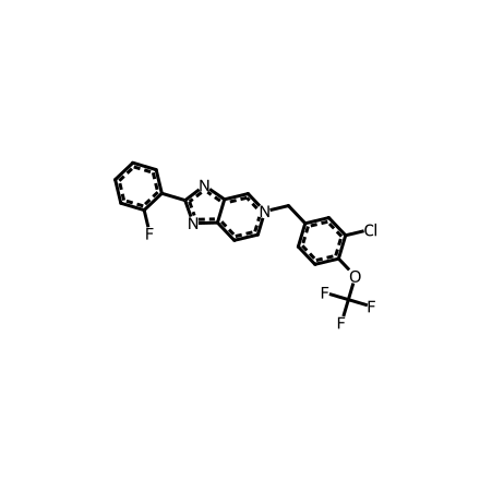 Fc1ccccc1-c1nc2ccn(Cc3ccc(OC(F)(F)F)c(Cl)c3)cc-2n1